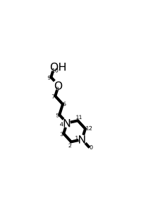 CN1CCN(CCCOCO)CC1